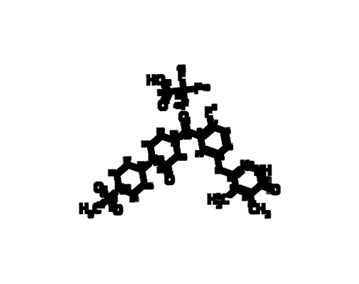 Cc1c(Cc2ccc(F)c(C(=O)N3CCN(C4CCN(S(C)(=O)=O)CC4)C(=O)C3)c2)n[nH]c(=O)c1C.O=C(O)C(F)(F)F